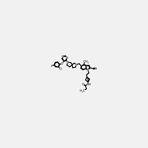 CCC(=O)NC12CC(CCn3c(C#N)cc4c(C)c(CN5CCC6(CCN(c7ncncc7Oc7ccc(F)cc7Cl)C6)C5)ccc43)(C1)C2